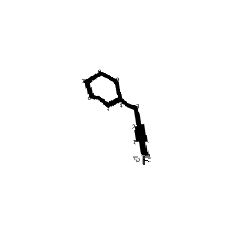 FC#CCC1CC[CH]CC1